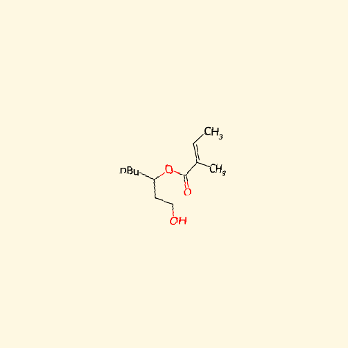 CC=C(C)C(=O)OC(CCO)CCCC